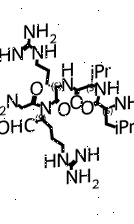 CC(C)C[C@H](N)C(=O)N[C@H](C(=O)N[C@@H](CCCNC(=N)N)C(=O)N(C(=O)CN)[C@H]([C]=O)CCCNC(=N)N)C(C)C